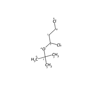 CC(C)(C)OC(Cl)CCCl